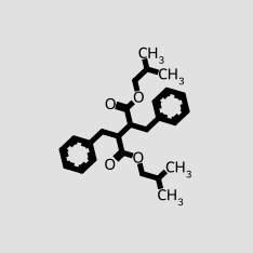 CC(C)COC(=O)C(Cc1ccccc1)C(Cc1ccccc1)C(=O)OCC(C)C